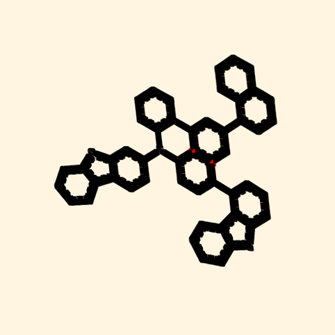 c1cc(-c2ccccc2N(c2ccc(-c3cccc4sc5ccccc5c34)cc2)c2ccc3c(c2)oc2ccccc23)cc(-c2cccc3ccccc23)c1